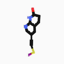 O=c1ccc2cc(C#CSI)cnc2[nH]1